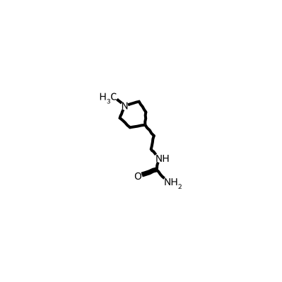 CN1CCC(CCNC(N)=O)CC1